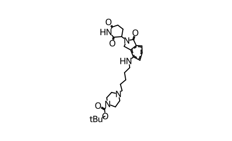 CC(C)(C)OC(=O)N1CCN(CCCCCNc2cccc3c2CN(C2CCC(=O)NC2=O)C3=O)CC1